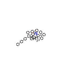 CC1(C)c2cc(-c3ccc(-c4ccc(-c5ccccc5)cc4)cc3)ccc2-c2ccc(N(c3ccc4c(c3)C(c3ccccc3)(c3ccccc3)c3ccccc3-4)c3ccccc3-c3ccc(-c4ccccc4)cc3)cc21